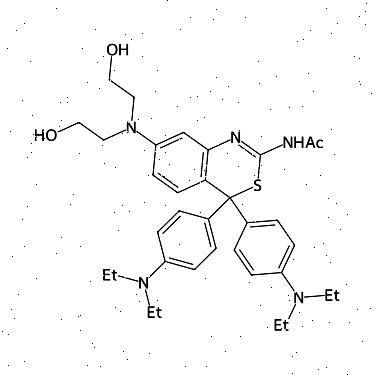 CCN(CC)c1ccc(C2(c3ccc(N(CC)CC)cc3)SC(NC(C)=O)=Nc3cc(N(CCO)CCO)ccc32)cc1